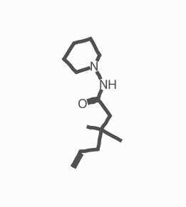 C=CCC(C)(C)CC(=O)NN1CCCCC1